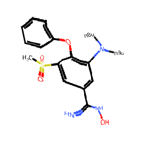 CCCCN(CCCC)c1cc(C(=N)NO)cc(S(C)(=O)=O)c1Oc1ccccc1